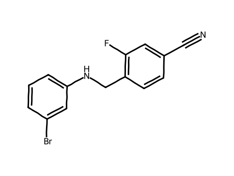 N#Cc1ccc(CNc2cccc(Br)c2)c(F)c1